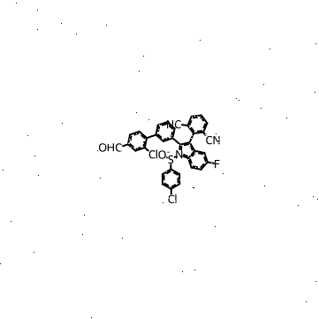 N#Cc1cccc(C#N)c1-c1c(-c2cccc(-c3ccc(C=O)cc3Cl)c2)n([S+]([O-])c2ccc(Cl)cc2)c2ccc(F)cc12